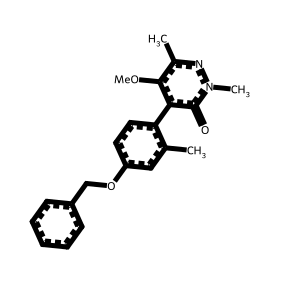 COc1c(C)nn(C)c(=O)c1-c1ccc(OCc2ccccc2)cc1C